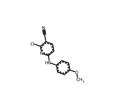 COc1ccc(Nc2ccc(C#N)c(Cl)n2)cc1